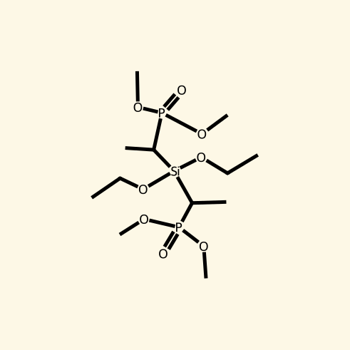 CCO[Si](OCC)(C(C)P(=O)(OC)OC)C(C)P(=O)(OC)OC